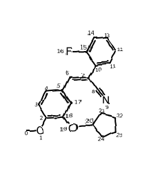 COc1ccc(/C=C(\C#N)c2ccccc2F)cc1OC1CCCC1